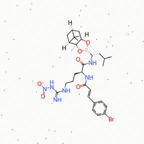 CC(C)C[C@H](NC(=O)[C@H](CCCNC(=N)N[N+](=O)[O-])NC(=O)/C=C/c1ccc(Br)cc1)B1O[C@@H]2C[C@@H]3C[C@@H](C3(C)C)[C@]2(C)O1